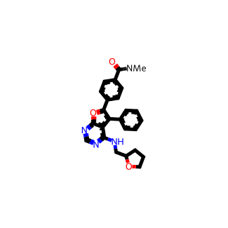 CNC(=O)c1ccc(-c2oc3ncnc(NCC4CCCO4)c3c2-c2ccccc2)cc1